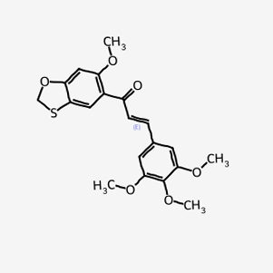 COc1cc2c(cc1C(=O)/C=C/c1cc(OC)c(OC)c(OC)c1)SCO2